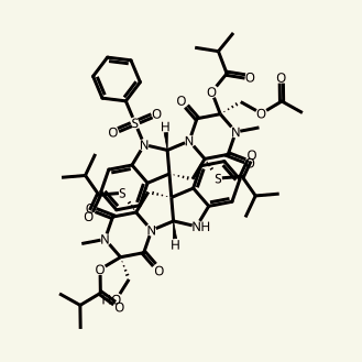 CC(=O)OC[C@@]1(OC(=O)C(C)C)C(=O)N2[C@H]3N(S(=O)(=O)c4ccccc4)c4ccccc4[C@@]3([C@]34C[C@]5(SC(=O)C(C)C)C(=O)N(C)[C@](CO)(OC(=O)C(C)C)C(=O)N5[C@H]3Nc3ccccc34)C[C@]2(SC(=O)C(C)C)C(=O)N1C